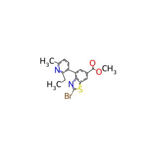 CCc1nc(C)ccc1-c1cc(C(=O)OC)cc2sc(Br)nc12